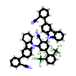 N#Cc1ccccc1-c1ccc2c(c1)c1c(n2-c2cc(-c3c(C(F)(F)F)cccc3C(F)(F)F)cc(-n3c4ccccc4c4cc(-c5ccccc5C#N)ccc43)c2C#N)C=CCC1